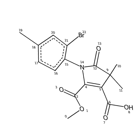 COC(=O)C1=C(C(=O)O)C(C)(C)C(=O)N1c1ccc(C)cc1Br